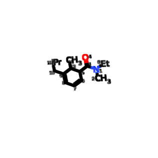 CCN(C)C(=O)C1C=CC=C(CC(C)C)C1C